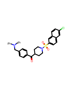 CC(C)N(Cc1ccc(C(=O)C2CCN(S(=O)(=O)c3ccc4cc(Cl)ccc4c3)CC2)cc1)C(C)C